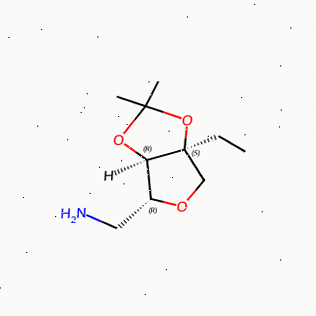 CC[C@]12CO[C@H](CN)[C@H]1OC(C)(C)O2